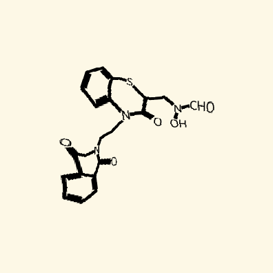 O=CN(O)CC1Sc2ccccc2N(CCN2C(=O)c3ccccc3C2=O)C1=O